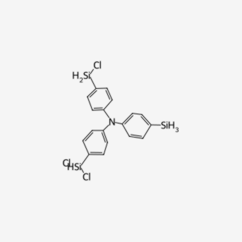 [SiH3]c1ccc(N(c2ccc([SiH2]Cl)cc2)c2ccc([SiH](Cl)Cl)cc2)cc1